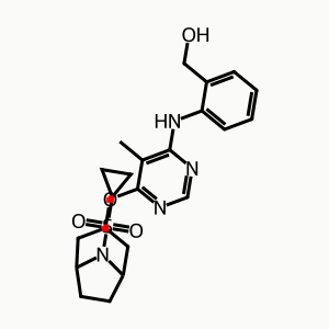 Cc1c(Nc2ccccc2CO)ncnc1OC1CC2CCC(C1)N2S(=O)(=O)C1CC1